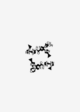 CC1(O)CN(c2cnc(C(=O)Nc3csc(-c4nncn4C4CC4)n3)cc2-n2cnc(C3CC3)c2)C1.O=C(Nc1csc(-c2nncn2C2CC2)n1)c1cc(-n2cnc(C3CC3)c2)c(N2CCOCC2)cn1